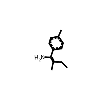 CC/C(C)=C(/N)c1ccc(C)cc1